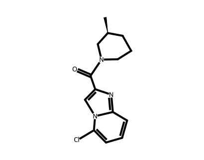 C[C@H]1CCCN(C(=O)c2cn3c(Cl)cccc3n2)C1